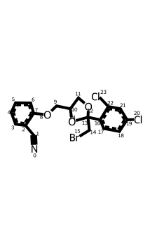 N#Cc1ccccc1OCC1COC(CBr)(c2ccc(Cl)cc2Cl)O1